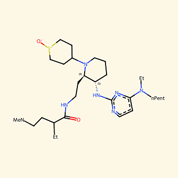 CCCCCN(CC)c1ccnc(N[C@H]2CCCN(C3CC[S+]([O-])CC3)[C@@H]2CCNC(=O)C(CC)CCNC)n1